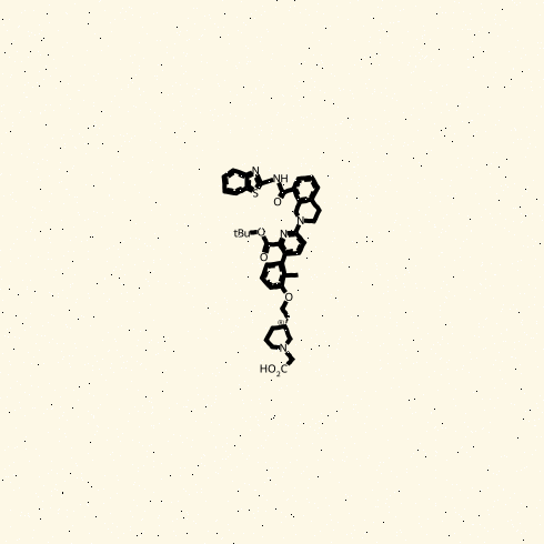 Cc1c(OCC[C@H]2CCCN(CC(=O)O)C2)cccc1-c1ccc(N2CCc3cccc(C(=O)Nc4nc5ccccc5s4)c3C2)nc1C(=O)OC(C)(C)C